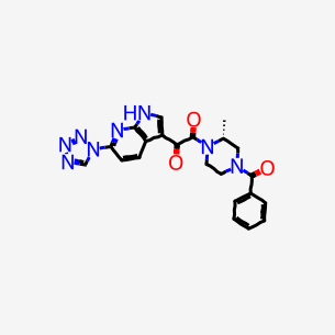 C[C@@H]1CN(C(=O)c2ccccc2)CCN1C(=O)C(=O)c1c[nH]c2nc(-n3cnnn3)ccc12